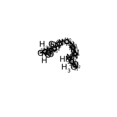 COc1c(N2CCN(CC3CCC(CN4CCN(c5cc(-c6n[nH]c7ccc(OC8(C)CC8)cc67)ncn5)CC4)CC3)CC2)ccc2c1CN(C1CCC(=O)NC1=O)C2=O